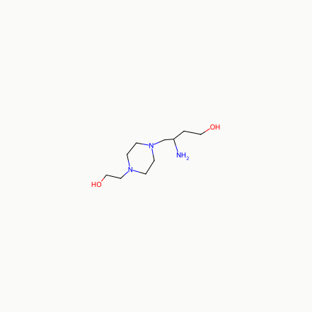 NC(CCO)CN1CCN(CCO)CC1